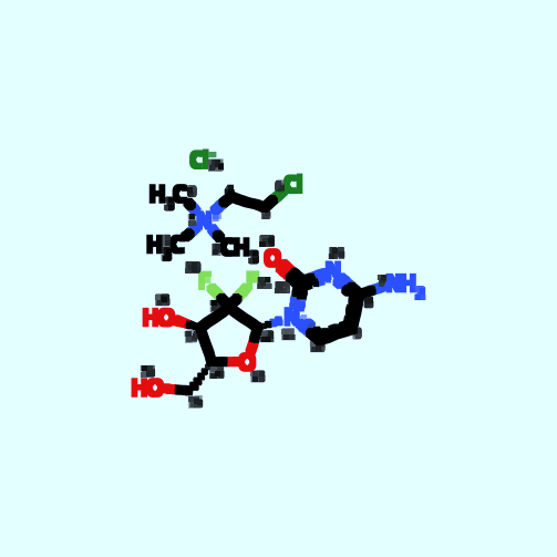 C[N+](C)(C)CCCl.Nc1ccn([C@@H]2O[C@H](CO)[C@@H](O)C2(F)F)c(=O)n1.[Cl-]